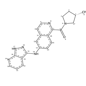 C[C@H]1CCN(C(=O)c2nccc3cc(Nc4n[nH]c5ncccc45)ccc23)C1